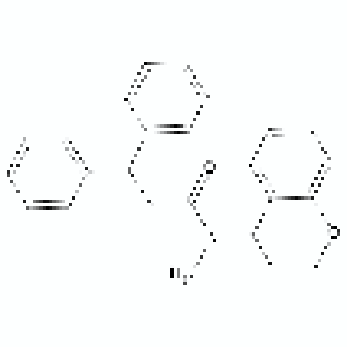 CN(C(=O)CC(c1ccccc1)c1ccccc1)C1CCOc2ccccc21